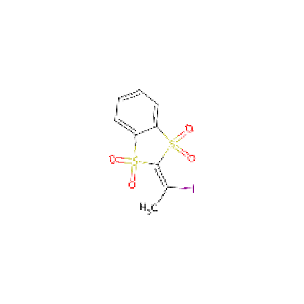 CC(I)=C1S(=O)(=O)c2ccccc2S1(=O)=O